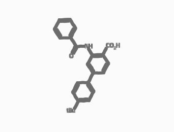 CC(C)(C)c1ccc(-c2ccc(C(=O)O)c(NC(=O)c3ccccc3)c2)cc1